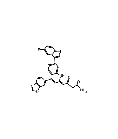 NC(=O)CC(=O)C=C(C=Cc1ccc2c(c1)OCO2)Nc1ccnc(-c2cnc3ccc(F)cn23)n1